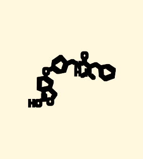 CN(C)C(Cc1ccccc1)C(=O)NCc1ccc(Oc2ccc3c(c2)COB3O)cc1